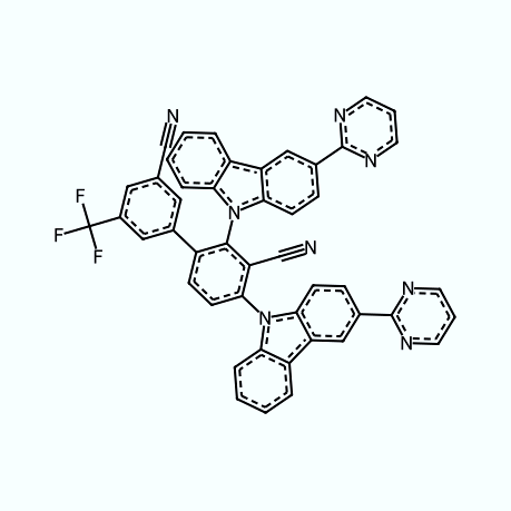 N#Cc1cc(-c2ccc(-n3c4ccccc4c4cc(-c5ncccn5)ccc43)c(C#N)c2-n2c3ccccc3c3cc(-c4ncccn4)ccc32)cc(C(F)(F)F)c1